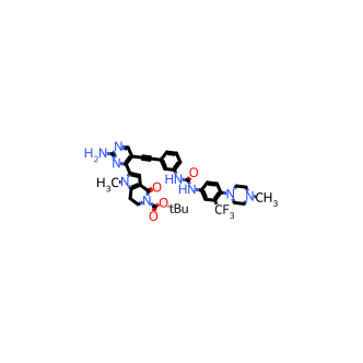 CN1CCN(c2ccc(NC(=O)Nc3cccc(C#Cc4cnc(N)nc4-c4cc5c(n4C)CCN(C(=O)OC(C)(C)C)C5=O)c3)cc2C(F)(F)F)CC1